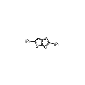 CC(C)c1nc2cc(C(C)C)sc2o1